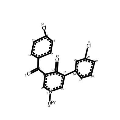 CCCn1cc(C(=O)c2ccc(Cl)cc2)c(=O)c(-c2cccc(Cl)c2)c1